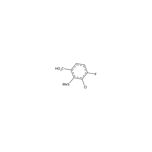 CSc1c(C(=O)O)ccc(F)c1Cl